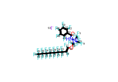 O=C(N[N+](C(F)(F)F)(C(F)(F)F)C(F)(F)OC(F)=C(F)C(F)(F)C(F)(F)C(F)(F)C(F)(F)C(F)(F)C(F)(F)C(F)(F)F)c1c(F)c(F)c(F)c(F)c1F.[I-]